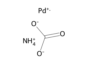 O=C([O-])[O-].[NH4+].[Pd+]